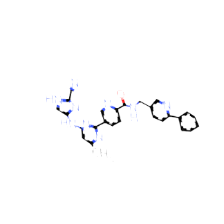 Cc1cc(Nc2c[nH]c(C#N)n2)nc(-c2ccc(C(=O)NCc3ccc(-c4ccccc4)nc3)nc2)n1